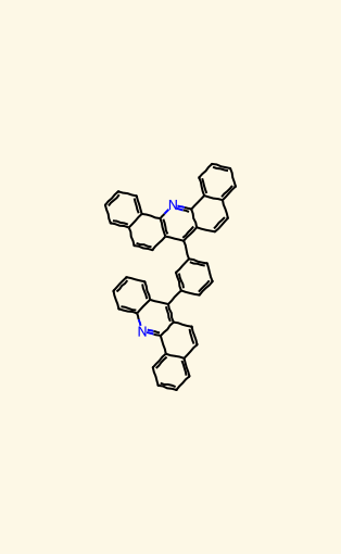 c1cc(-c2c3ccccc3nc3c2ccc2ccccc23)cc(-c2c3ccc4ccccc4c3nc3c2ccc2ccccc23)c1